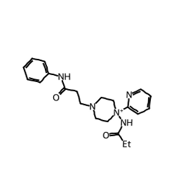 CCC(=O)N[N+]1(c2ccccn2)CCN(CCC(=O)Nc2ccccc2)CC1